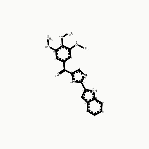 COc1cc(C(=O)c2c[nH]c(-c3cc4ccccc4[nH]3)n2)cc(OC)c1OC